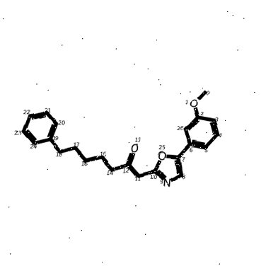 COc1cccc(-c2cnc(CC(=O)CCCCCc3ccccc3)o2)c1